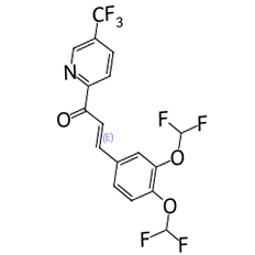 O=C(/C=C/c1ccc(OC(F)F)c(OC(F)F)c1)c1ccc(C(F)(F)F)cn1